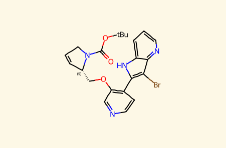 CC(C)(C)OC(=O)N1CC=C[C@H]1COc1cnccc1-c1[nH]c2cccnc2c1Br